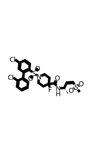 C[C@@H](/C=C\S(C)(=O)=O)NC(=O)C1(F)CCN(S(=O)(=O)c2ccc(Cl)cc2-c2ccccc2Cl)CC1